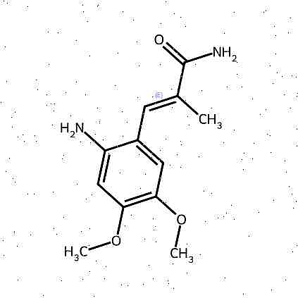 COc1cc(N)c(/C=C(\C)C(N)=O)cc1OC